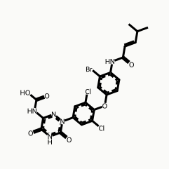 CC(C)C=CC(=O)Nc1ccc(Oc2c(Cl)cc(-n3nc(NC(=O)O)c(=O)[nH]c3=O)cc2Cl)cc1Br